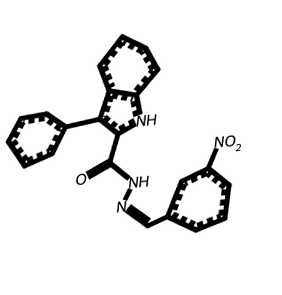 O=C(N/N=C\c1cccc([N+](=O)[O-])c1)c1[nH]c2ccccc2c1-c1ccccc1